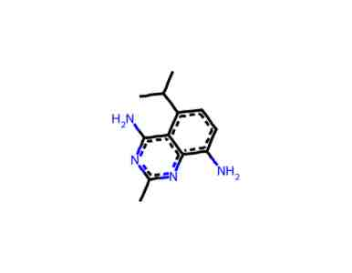 Cc1nc(N)c2c(C(C)C)ccc(N)c2n1